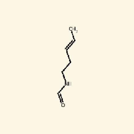 C/C=C/CCN[C]=O